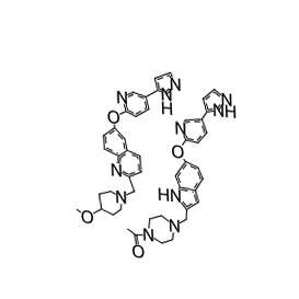 CC(=O)N1CCN(Cc2cc3ccc(Oc4ccc(-c5ccn[nH]5)cn4)cc3[nH]2)CC1.COC1CCN(Cc2ccc3cc(Oc4ccc(-c5ccn[nH]5)cn4)ccc3n2)CC1